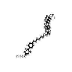 CCCCCCc1cnc(-c2ccc(CCCCCCOCC(F)(F)OC(F)(F)C(F)(F)OC(F)(F)C(F)(F)C(F)(F)C(F)(F)F)cc2)nc1